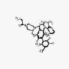 C=CC(=O)N1CCN2c3nc(=O)n(-c4c(C)ccnc4C(C)C)c4c(Cl)c(-c5c(N)c(Cl)cc(Cl)c5F)c(F)c(c34)OCC2C1